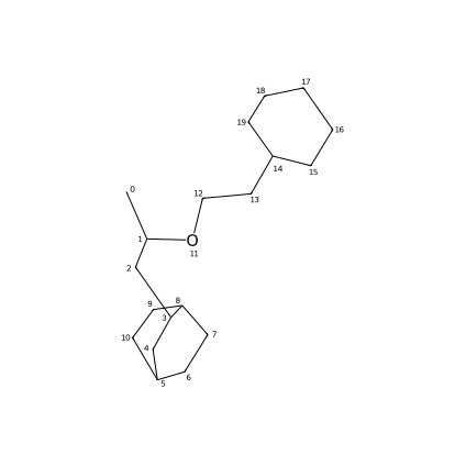 CC(CC1CC2CCC1CC2)OCCC1CCCCC1